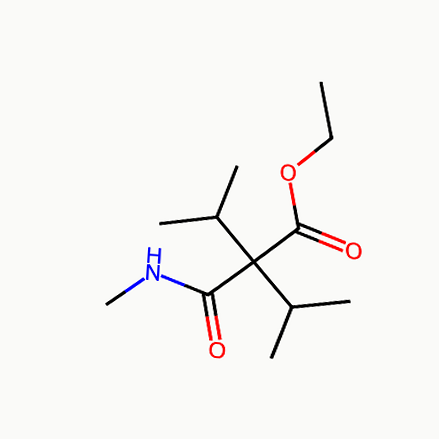 CCOC(=O)C(C(=O)NC)(C(C)C)C(C)C